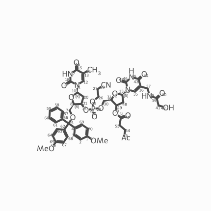 COc1ccc(C(OC[C@H]2O[C@@H](n3cc(C)c(=O)[nH]c3=O)CC2OP(=O)(OCCC#N)OC[C@H]2O[C@@H](n3cc(CNC(=O)CO)c(=O)[nH]c3=O)CC2OC(=O)CCC(C)=O)(c2ccccc2)c2ccc(OC)cc2)cc1